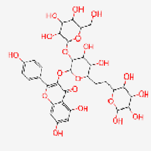 O=c1c(OC2OC(CCC3OC(O)C(O)C(O)C3O)C(O)C(O)C2OC2OC(CO)C(O)C(O)C2O)c(-c2ccc(O)cc2)oc2cc(O)cc(O)c12